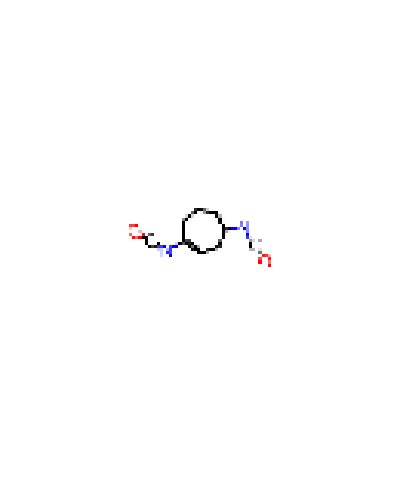 O=C=NC1=CCC(N=C=O)CCC1